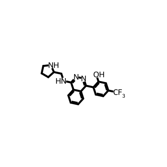 Oc1cc(C(F)(F)F)ccc1-c1nnc(NCC2CCCN2)c2ccccc12